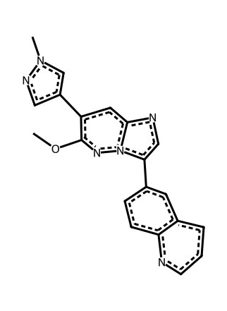 COc1nn2c(-c3ccc4ncccc4c3)cnc2cc1-c1cnn(C)c1